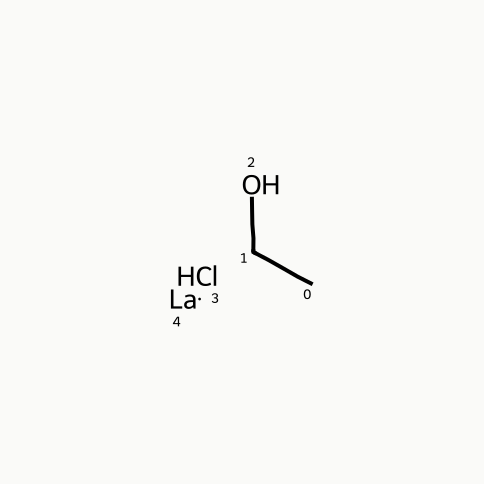 CCO.Cl.[La]